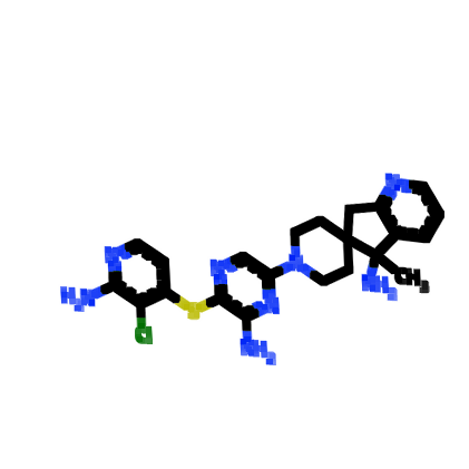 CC1(N)c2cccnc2CC12CCN(c1cnc(Sc3ccnc(N)c3Cl)c(N)n1)CC2